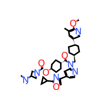 COc1ncc([C@H]2CC[C@H](CN(c3cc(-c4coc(C5CC5)n4)ccn3)C(=O)[C@H]3CC[C@H](OC(=O)N4CC(N(C)C)C4)CC3)CC2)cc1C